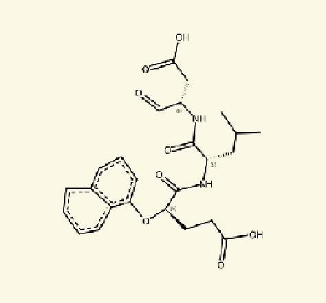 CC(C)C[C@H](NC(=O)[C@@H](CCC(=O)O)Oc1cccc2ccccc12)C(=O)N[C@H](C=O)CC(=O)O